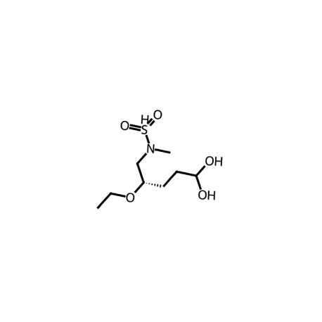 CCO[C@@H](CCC(O)O)CN(C)[SH](=O)=O